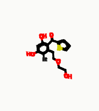 CCc1c(O)cc(O)c(C(=O)c2cccs2)c1CCOCCO